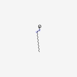 CCCCCCCCCCCCC/C=C\C=C/C=O